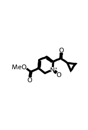 COC(=O)C1=CC=C(C(=O)C2CC2)[N+](=O)C1